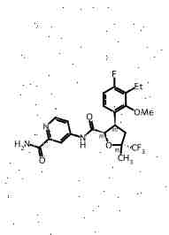 CCc1c(F)ccc([C@H]2C[C@](C)(C(F)(F)F)O[C@H]2C(=O)Nc2ccnc(C(N)=O)c2)c1OC